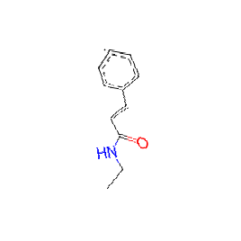 CCNC(=O)/C=C/c1cc[c]cc1